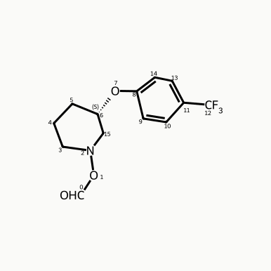 O=CON1CCC[C@H](Oc2ccc(C(F)(F)F)cc2)C1